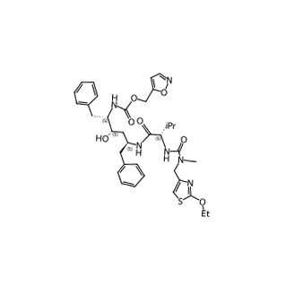 CCOc1nc(CN(C)C(=O)N[C@H](C(=O)N[C@@H](Cc2ccccc2)C[C@H](O)[C@H](Cc2ccccc2)NC(=O)OCc2ccno2)C(C)C)cs1